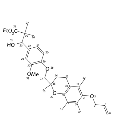 C=CCOc1c(C)c(C)c2c(c1C)CCC(C)(COc1ccc(C(O)C(C)(C)C(=O)OCC)cc1OC)O2